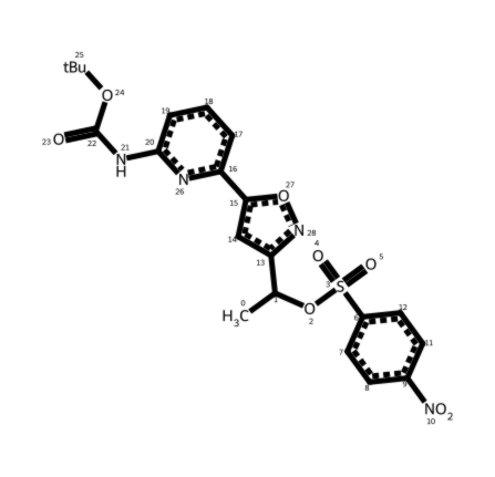 CC(OS(=O)(=O)c1ccc([N+](=O)[O-])cc1)c1cc(-c2cccc(NC(=O)OC(C)(C)C)n2)on1